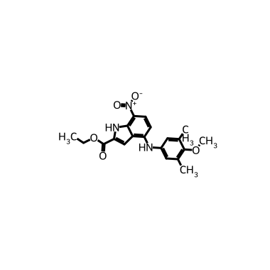 CCOC(=O)c1cc2c(Nc3cc(C)c(OC)c(C)c3)ccc([N+](=O)[O-])c2[nH]1